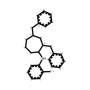 Fc1ccccc1NC1CCCC(Cc2ccccc2)CC1Cc1ccccc1